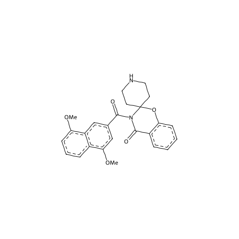 COc1cc(C(=O)N2C(=O)c3ccccc3OC23CCNCC3)cc2c(OC)cccc12